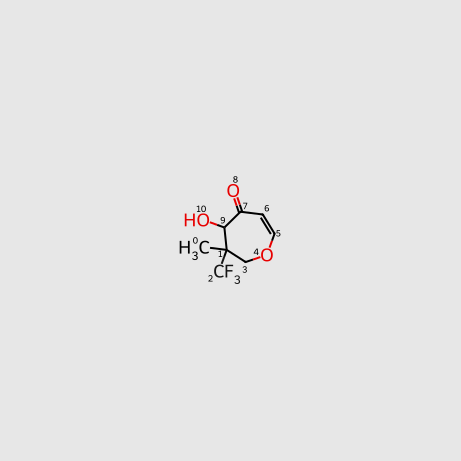 CC1(C(F)(F)F)COC=CC(=O)C1O